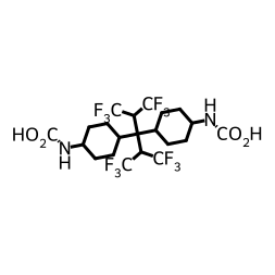 O=C(O)NC1CCC(C(C2CCC(NC(=O)O)CC2)(C(C(F)(F)F)C(F)(F)F)C(C(F)(F)F)C(F)(F)F)CC1